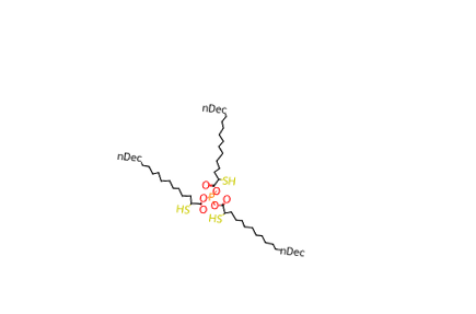 CCCCCCCCCCCCCCCCCCCCC(S)C(=O)OP(OC(=O)C(S)CCCCCCCCCCCCCCCCCCCC)OC(=O)C(S)CCCCCCCCCCCCCCCCCCCC